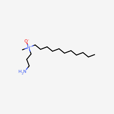 CCCCCCCCCCC[N+](C)([O-])CCCN